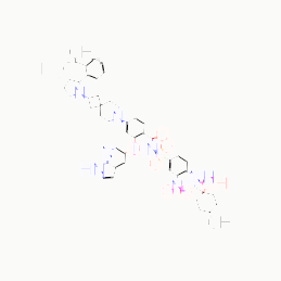 CC1CCC(O)(CNc2ccc(S(=O)(=O)NC(=O)c3ccc(N4CCC5(CC4)CC(N4CCCC4c4ccccc4C(C)C)C5)cc3Oc3cnc4[nH]ccc4c3)cc2[N+](=O)[O-])CC1